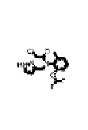 Cc1cccc(OC(F)F)c1N(Cc1cc[nH]n1)C(=O)CCl